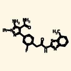 Cc1cccc2nc(NC(=O)Cc3ccc(-c4nn(C(C)C)c(N)c4C(N)=O)cc3F)sc12